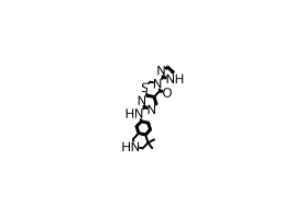 CC1(C)CNCc2cc(Nc3ncc4c(n3)SCN(c3ncc[nH]3)C4=O)ccc21